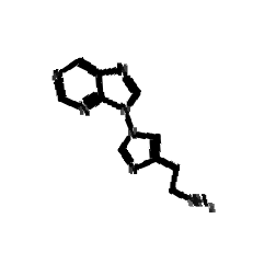 NCCc1cn(-n2cnc3cncnc32)cn1